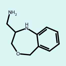 NCC1COCc2ccccc2N1